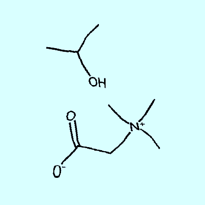 CC(C)O.C[N+](C)(C)CC(=O)[O-]